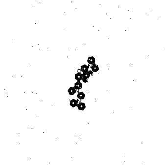 c1cc(-n2c3ccccc3c3ccccc32)cc(-n2c3ccccc3c3cc(-c4ccc5c(c4)C4(c6cc(-n7c8ccccc8c8ccccc87)ccc6O5)c5cccnc5-c5ncccc54)ccc32)c1